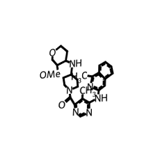 COC1COCCC1NC1CCN(C(=O)c2ncnc(Nc3cc4ccccc4c(C)n3)c2C)CC1